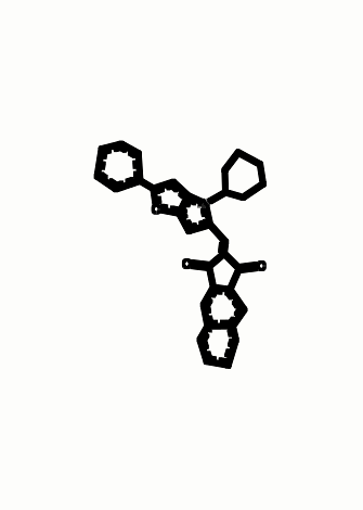 O=C1C(=Cc2cc3oc(-c4ccccc4)cc3n2C2CCCCC2)C(=O)c2cc3ccccc3cc21